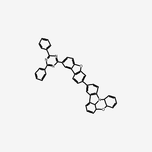 C1=CC2OC3C=CC=C4c5cc(-c6ccc7c(c6)oc6ccc(-c8nc(-c9ccccc9)nc(-c9ccccc9)n8)cc67)ccc5N(C2C=C1)C43